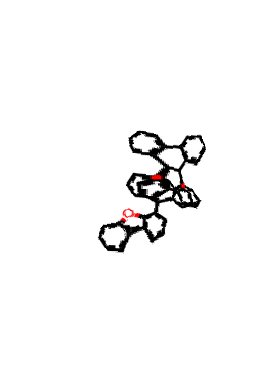 c1ccc2c(c1)-c1ccccc1C13c4ccccc4-c4ccccc4C21c1cccc2c(-c4cccc5c4oc4ccccc45)ccc3c12